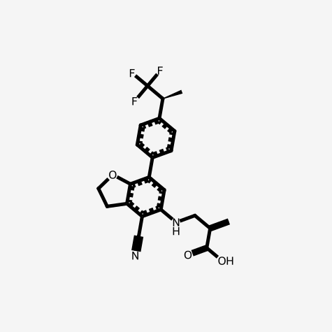 C=C(CNc1cc(-c2ccc([C@H](C)C(F)(F)F)cc2)c2c(c1C#N)CCO2)C(=O)O